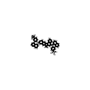 CC1(C)c2cc3cc(N(c4ccc([Si](C)(C)C)cc4)c4cccc5ccccc45)ccc3cc2-c2c1cc(N(c1ccc([Si](C)(C)C)cc1)c1cccc3ccccc13)c1ccccc21